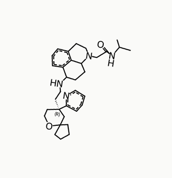 CC(C)NC(=O)CN1CCc2cccc3c2C1CCC3NCC[C@@]1(c2ccccn2)CCOC2(CCCC2)C1